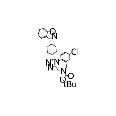 CC(C)(C)OC(=O)N1Cc2cc(Cl)ccc2-n2c(nnc2[C@H]2CC[C@@H](c3noc4ccccc43)CC2)C1